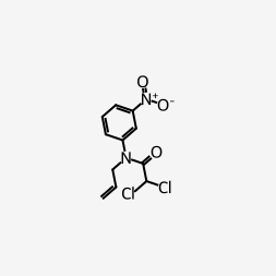 C=CCN(C(=O)C(Cl)Cl)c1cccc([N+](=O)[O-])c1